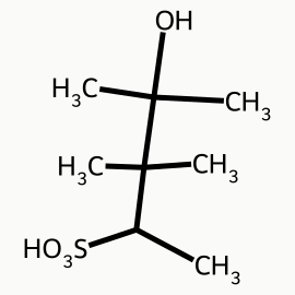 CC(C(C)(C)C(C)(C)O)S(=O)(=O)O